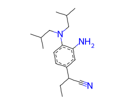 CCC(C#N)c1ccc(N(CC(C)C)CC(C)C)c(N)c1